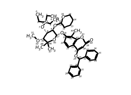 CC[Si](CC)(CC)O[C@@H]1[C@@H](OC2CCCCO2)[C@H](Oc2ccc3c(OC(c4ccccc4)c4ccccc4)cc(=O)oc3c2C)OC(C)(C)[C@@H]1OC